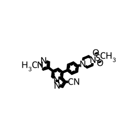 Cn1cc(-c2cc(-c3ccc(N4CCN(S(C)(=O)=O)CC4)cc3)c3c(C#N)cnn3c2)cn1